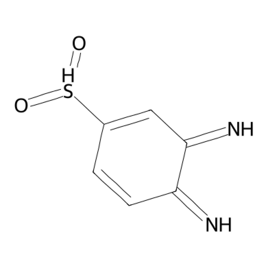 N=C1C=CC([SH](=O)=O)=CC1=N